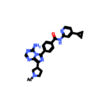 CC(=O)N1CCC(c2nc(-c3ccc(C(=O)Nc4cc(C5CC5)ccn4)cc3)n3c(N)ncnc23)C1